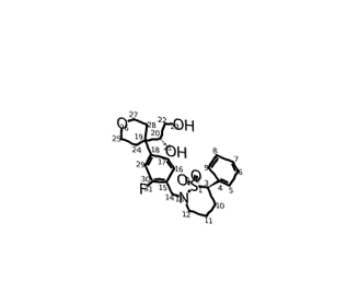 O=S1(=O)[C@@H](c2ccccc2)CCCN1Cc1ccc(C2([C@@H](O)CO)CCOCC2)cc1F